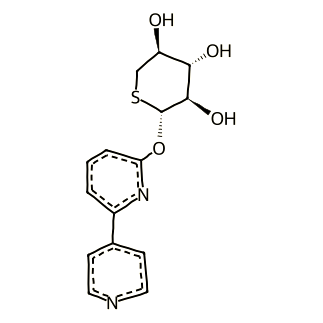 O[C@@H]1[C@@H](O)[C@H](Oc2cccc(-c3ccncc3)n2)SC[C@H]1O